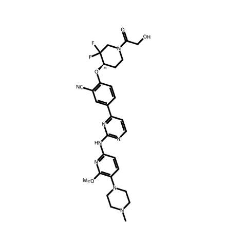 COc1nc(Nc2nccc(-c3ccc(O[C@@H]4CCN(C(=O)CO)CC4(F)F)c(C#N)c3)n2)ccc1N1CCN(C)CC1